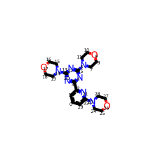 c1cc(-c2nc(N3CCOCC3)nc(N3CCOCC3)n2)nc(N2CCOCC2)c1